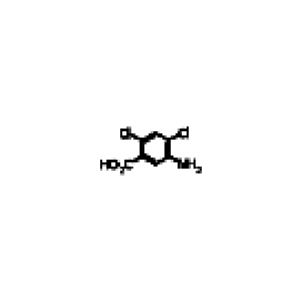 Nc1cc(C(=O)O)c(Cl)cc1Cl